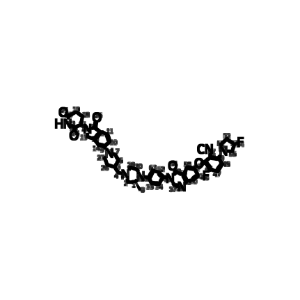 C[C@H]1CN(CC2CCN(c3ccc4c(c3)CN([C@H]3CCC(=O)NC3=O)C4=O)CC2)CCN1c1ccc(-n2cnc3ccc(Oc4c(F)ccc(N5CC[C@@H](F)C5)c4C#N)cc3c2=O)cc1